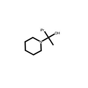 CC(C)C(C)(O)N1CCCCC1